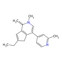 C=C1C2=C(CC(CC)=C2)C(c2ccnc(C)c2)=CN1C